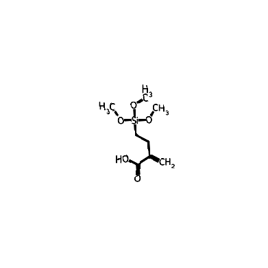 C=C(CC[Si](OC)(OC)OC)C(=O)O